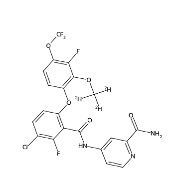 [2H]C([2H])([2H])Oc1c(Oc2ccc(Cl)c(F)c2C(=O)Nc2ccnc(C(N)=O)c2)ccc(OC(F)(F)F)c1F